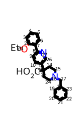 CCOc1ccccc1-c1ccc(C2(C(=O)O)CCN(Cc3ccccc3)CC2)cn1